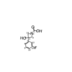 O=C(O)N1CC(O)(c2cccc(F)c2)C1